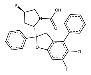 O=C(O)N1C[C@H](F)C[C@H]1C1(c2ccccc2)Cc2c(cc(F)c(Cl)c2-c2ccccc2)O1